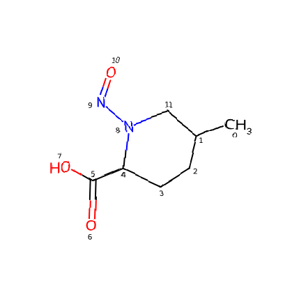 CC1CCC(C(=O)O)N(N=O)C1